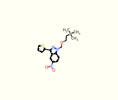 C[Si](C)(C)CCOCn1nc(-c2cccs2)c2cc([N+](=O)[O-])ccc21